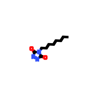 CCCCCCCCN1C(=O)N=NC1=O